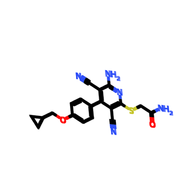 N#Cc1c(N)nc(SCC(N)=O)c(C#N)c1-c1ccc(OCC2CC2)cc1